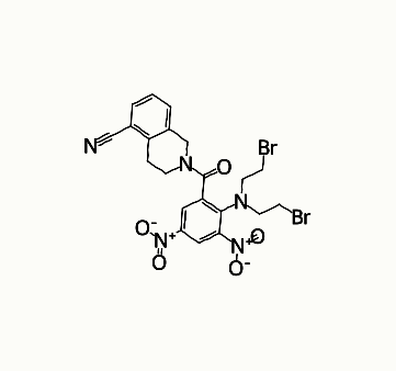 N#Cc1cccc2c1CCN(C(=O)c1cc([N+](=O)[O-])cc([N+](=O)[O-])c1N(CCBr)CCBr)C2